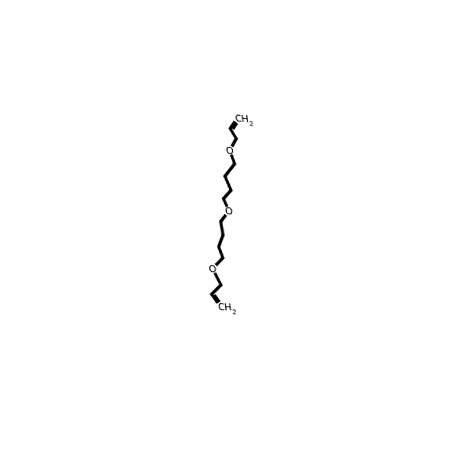 C=CCOCCCCOCCCCOCC=C